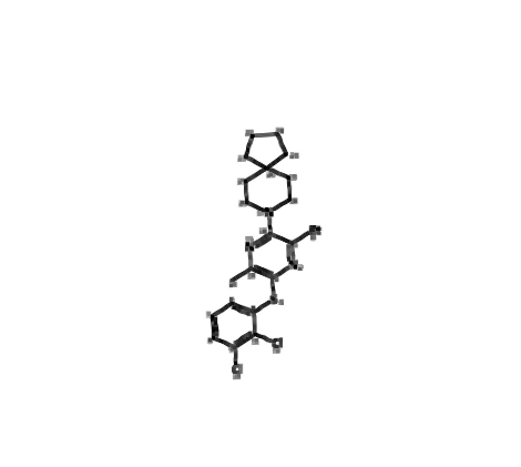 CCc1nc(Sc2cccc(Cl)c2Cl)c(C)nc1N1CCC2(CCCC2)CC1